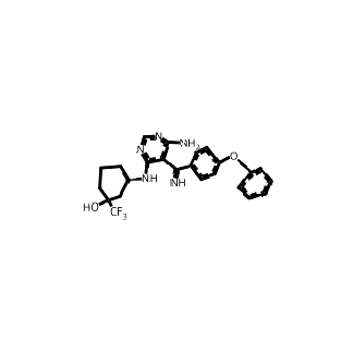 N=C(c1ccc(Oc2ccccc2)cc1)c1c(N)ncnc1N[C@@H]1CCCC(O)(C(F)(F)F)C1